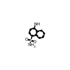 [NH]c1ccc(S(N)(=O)=O)c2ccccc12